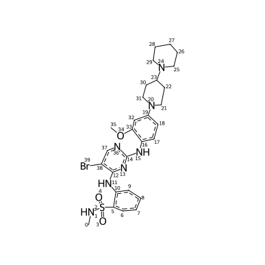 CNS(=O)(=O)c1ccccc1Nc1nc(Nc2ccc(N3CCC(N4CCCCC4)CC3)cc2OC)ncc1Br